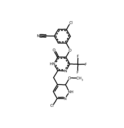 COC1NN=C(Cl)C=C1Cc1nc(C(F)(F)F)c(Oc2cc(Cl)cc(C#N)c2)c(=O)[nH]1